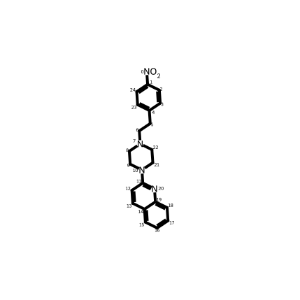 O=[N+]([O-])c1ccc(CCN2CCN(c3ccc4ccccc4n3)CC2)cc1